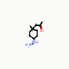 CC(=O)CC1(C)CCC(NN)CC1